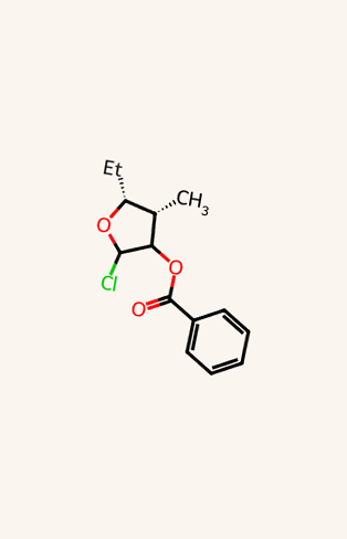 CC[C@H]1OC(Cl)C(OC(=O)c2ccccc2)[C@H]1C